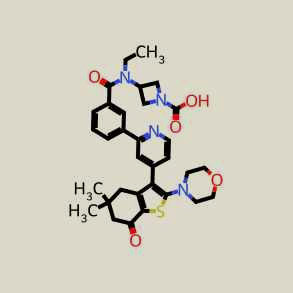 CCN(C(=O)c1cccc(-c2cc(-c3c(N4CCOCC4)sc4c3CC(C)(C)CC4=O)ccn2)c1)C1CN(C(=O)O)C1